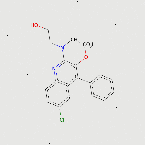 CN(CCO)c1nc2ccc(Cl)cc2c(-c2ccccc2)c1OC(=O)O